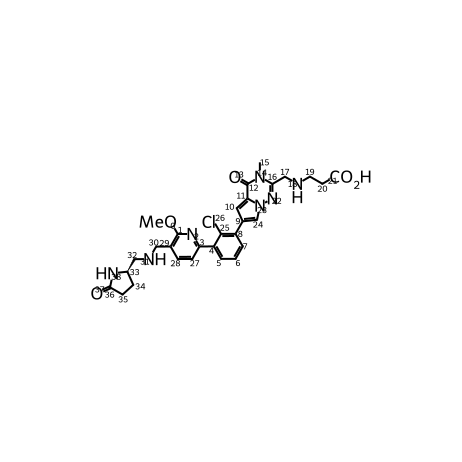 COc1nc(-c2cccc(-c3cc4c(=O)n(C)c(CNCCC(=O)O)nn4c3)c2Cl)ccc1CNC[C@H]1CCC(=O)N1